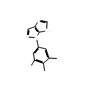 Cc1c(C(C)(C)C)cc(-n2ncc3nc[nH]c32)cc1C(C)(C)C